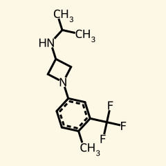 Cc1ccc(N2CC(NC(C)C)C2)cc1C(F)(F)F